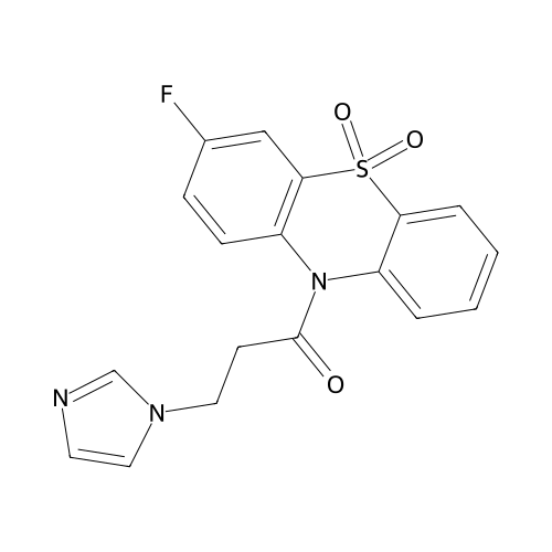 O=C(CCn1ccnc1)N1c2ccccc2S(=O)(=O)c2cc(F)ccc21